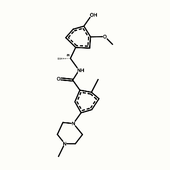 COc1cc([C@@H](C)NC(=O)c2cc(N3CCN(C)CC3)ccc2C)ccc1O